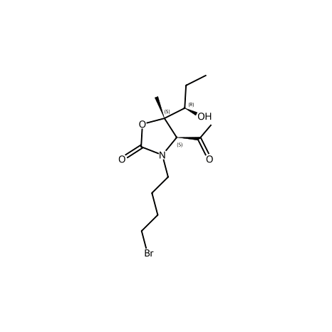 CC[C@@H](O)[C@@]1(C)OC(=O)N(CCCCBr)[C@@H]1C(C)=O